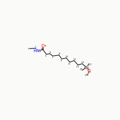 CCNC(=O)CCCCCCCCCC[Si](C)(C)OC